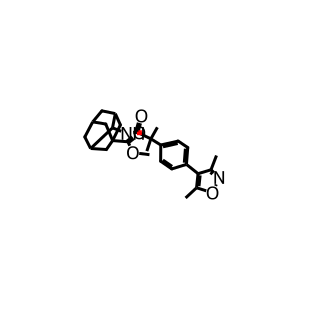 COC(=O)C12CC3CC(C1)C(NC(=O)C(C)(C)c1ccc(-c4c(C)noc4C)cc1)C(C3)C2